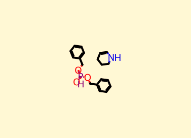 C1=CNCCC1.O=[PH](OCc1ccccc1)OCc1ccccc1